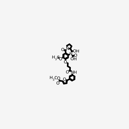 COC(=O)c1ccc(-c2cccc(NC(=O)CCCOc3cc4c(cc3OC)C(=O)N3CCCC3C(O)N4C(=O)O)c2)o1